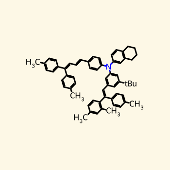 Cc1ccc(C(=C/C=C/c2ccc(N(c3cc(/C=C(\c4ccc(C)cc4)c4ccc(C)cc4C)cc(C(C)(C)C)c3)c3ccc4c(c3)CCCC4)cc2)c2ccc(C)cc2)cc1